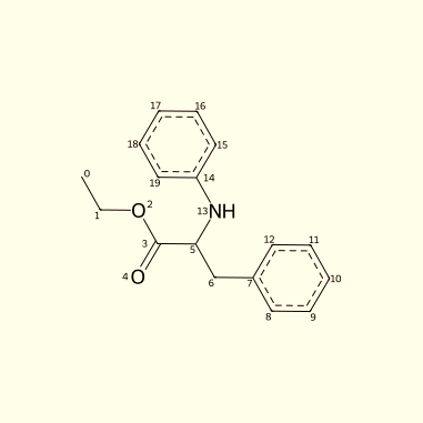 CCOC(=O)C(Cc1ccccc1)Nc1ccccc1